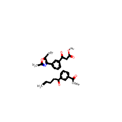 C=CCCC(=O)c1cccc(C(=O)OC)c1.CCCc1oc(C)nc1-c1cccc(C(=O)CC(=O)OC(C)(C)C)c1